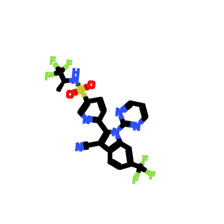 C[C@H](NS(=O)(=O)c1ccc(-c2c(C#N)c3ccc(C(F)(F)F)cc3n2-c2ncccn2)nc1)C(F)(F)F